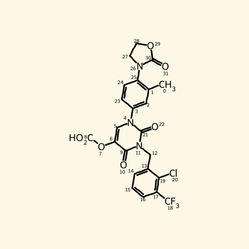 Cc1cc(-n2cc(OC(=O)O)c(=O)n(Cc3cccc(C(F)(F)F)c3Cl)c2=O)ccc1N1CCOC1=O